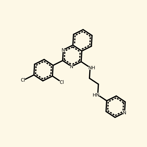 Clc1ccc(-c2nc(NCCNc3ccncc3)c3ccccc3n2)c(Cl)c1